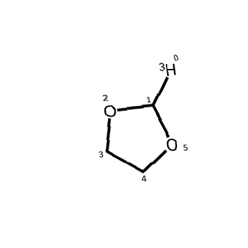 [3H]C1OCCO1